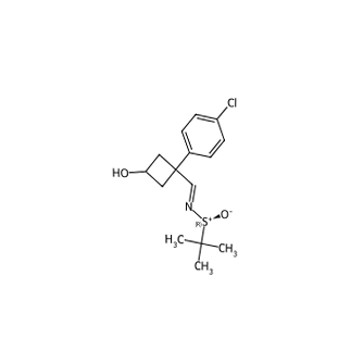 CC(C)(C)[S@+]([O-])N=CC1(c2ccc(Cl)cc2)CC(O)C1